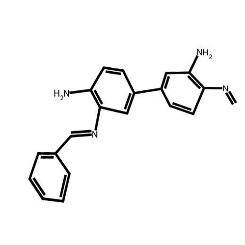 C=Nc1ccc(-c2ccc(N)c(/N=C/c3ccccc3)c2)cc1N